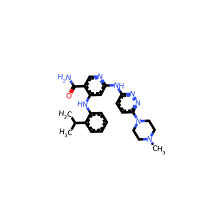 CC(C)c1ccccc1Nc1cc(Nc2ccc(N3CCN(C)CC3)nn2)ncc1C(N)=O